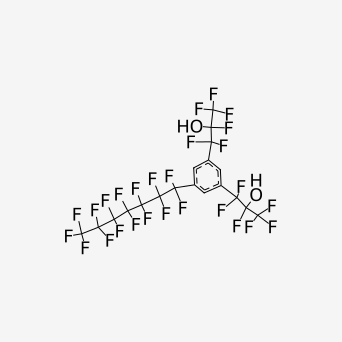 OC(F)(C(F)(F)F)C(F)(F)c1cc(C(F)(F)C(O)(F)C(F)(F)F)cc(C(F)(F)C(F)(F)C(F)(F)C(F)(F)C(F)(F)C(F)(F)C(F)(F)F)c1